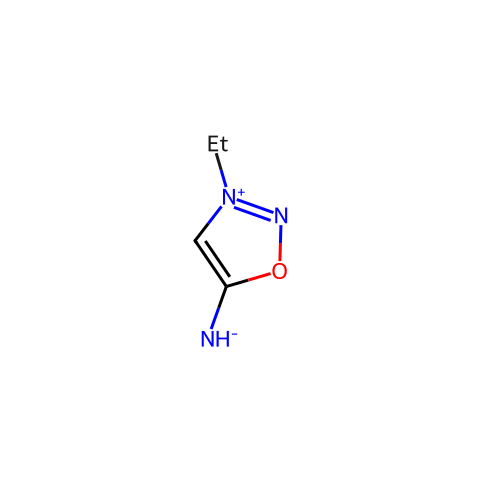 CC[n+]1cc([NH-])on1